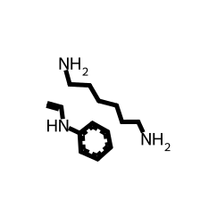 C=CNc1ccccc1.NCCCCCCN